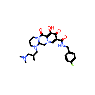 CC(CN(C)C)CN1CCCN2C(=O)c3c(O)c(=O)c(C(=O)NCc4ccc(F)cc4)cn3CC12